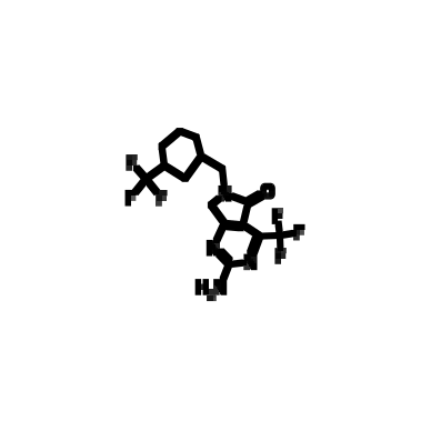 Nc1nc2c(c(C(F)(F)F)n1)C(=O)N(CC1CCCC(C(F)(F)F)C1)C2